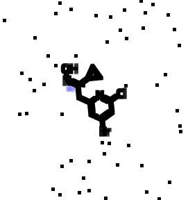 O/N=C(/Cc1cc(Br)cc(Cl)n1)C1CC1